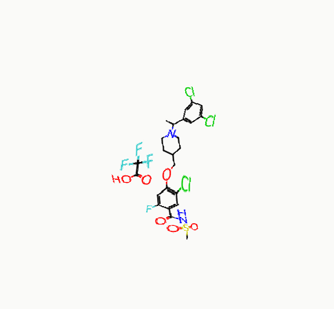 CC(c1cc(Cl)cc(Cl)c1)N1CCC(COc2cc(F)c(C(=O)NS(C)(=O)=O)cc2Cl)CC1.O=C(O)C(F)(F)F